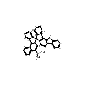 OB(O)c1cc2c(c3ccccc13)-c1ccccc1C21c2ccccc2-c2c1ccc1c2oc2ccccc21